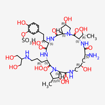 C[C@@H](O)[C@@H]1NC(=O)[C@@H](N)C[C@@H](O)CNC(=O)[C@@H]2[C@@H](O)[C@@H](C)CN2C(=O)[C@H]([C@H](O)CCNC(CO)CO)NC(=O)[C@H]([C@H](O)Cc2ccc(O)c(OS(=O)(=O)O)c2)NC(=O)[C@@H]2C[C@@H](O)CN2C1=O